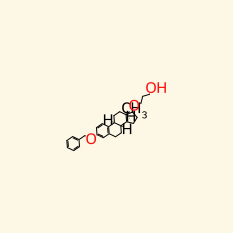 C[C@]12CC[C@@H]3c4ccc(OCc5ccccc5)cc4CC[C@H]3[C@@H]1CC[C@@H]2OCCCO